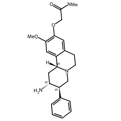 CNC(=O)COc1cc2c(cc1OC)[C@H]1C[C@@H](N)[C@H](c3ccccc3)CN1CC2